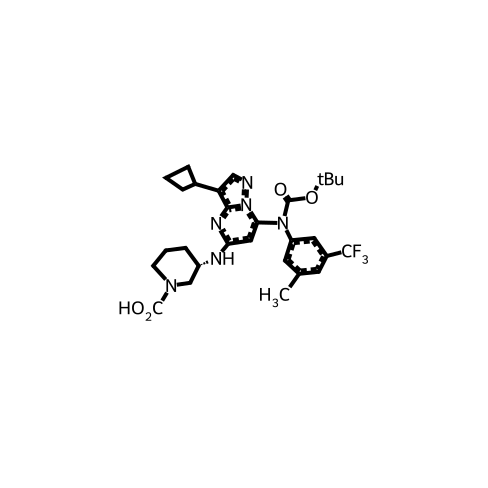 Cc1cc(N(C(=O)OC(C)(C)C)c2cc(N[C@H]3CCCN(C(=O)O)C3)nc3c(C4CCC4)cnn23)cc(C(F)(F)F)c1